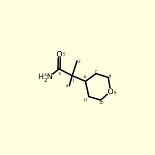 CC(C)(C(N)=O)C1CCOCC1